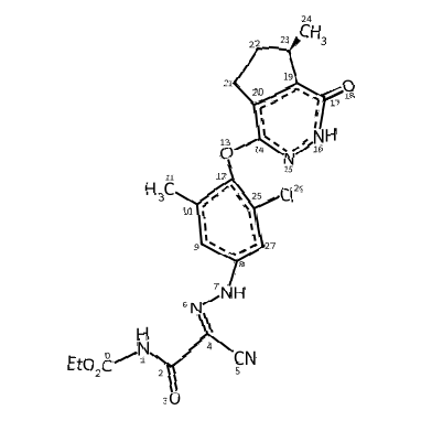 CCOC(=O)NC(=O)/C(C#N)=N/Nc1cc(C)c(Oc2n[nH]c(=O)c3c2CC[C@H]3C)c(Cl)c1